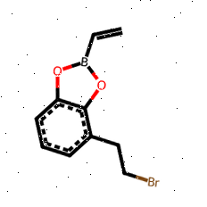 C=CB1Oc2cccc(CCBr)c2O1